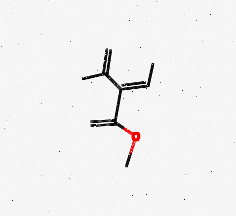 C=C(C)/C(=C\C)C(=C)OC